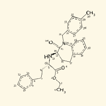 CCOC(=O)[C@H](CCc1ccccc1)N[C@@H]1CCc2ccccc2N(Cc2ccc(C)cc2)C1=O